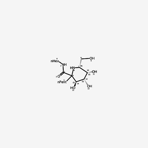 CCCCCCNC(=O)C1(CCCCC)N[C@H](CO)[C@H](O)[C@H](O)[C@H]1O